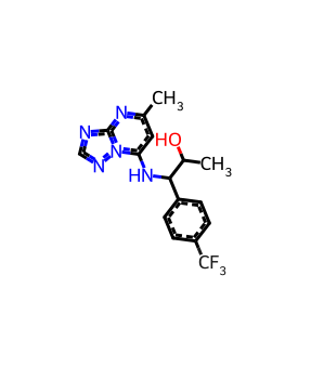 Cc1cc(NC(c2ccc(C(F)(F)F)cc2)C(C)O)n2ncnc2n1